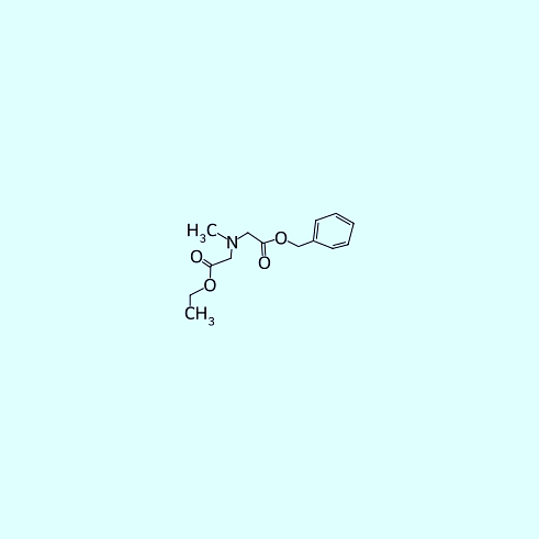 CCOC(=O)CN(C)CC(=O)OCc1ccccc1